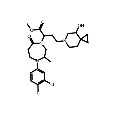 COC(=O)C(CCN1CCC2(CC2)C(O)C1)N1CC(C)N(c2ccc(Cl)c(Cl)c2)CCC1=O